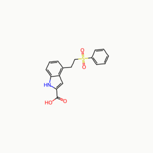 O=C(O)c1cc2c(CCS(=O)(=O)c3ccccc3)cccc2[nH]1